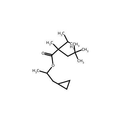 CC(CC1CC1)OC(=O)C(C)(CC(C)(C)C)C(C)C